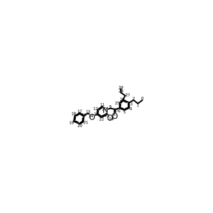 CCCc1ccc(C(=O)Cn2ccc(OCc3ccccc3)cc2=O)cc1CCC